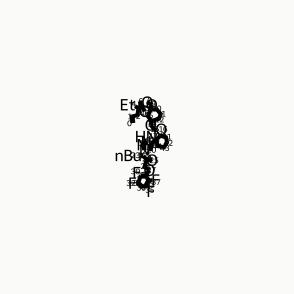 C=CCC(CC)C1(C)OOC2(CCCC(OC(=O)NC3(c4cn(C(CCCC)C(=O)COc5c(F)c(F)cc(F)c5F)nn4)CCCCC3)C2)O1